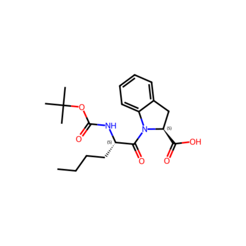 CCCC[C@H](NC(=O)OC(C)(C)C)C(=O)N1c2ccccc2C[C@H]1C(=O)O